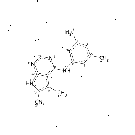 Cc1cc(C)cc(Nc2ncnc3[nH]c(C)c(C)c23)c1